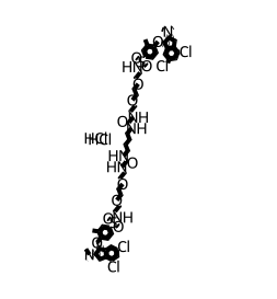 Cc1cc(S(=O)(=O)NCCOCCOCCNC(=O)NCCCCNC(=O)NCCOCCOCCNS(=O)(=O)c2ccc(O[C@H]3c4cc(Cl)cc(Cl)c4C[C@@H]3N(C)C)c(C)c2)ccc1O[C@H]1c2cc(Cl)cc(Cl)c2C[C@@H]1N(C)C.Cl.Cl